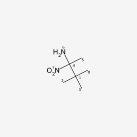 CC(C)(C)C(C)(N)[N+](=O)[O-]